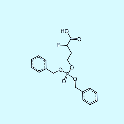 O=C(O)C(F)CCOP(=O)(OCc1ccccc1)OCc1ccccc1